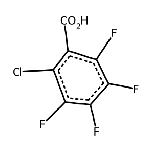 O=C(O)c1c(F)c(F)c(F)c(F)c1Cl